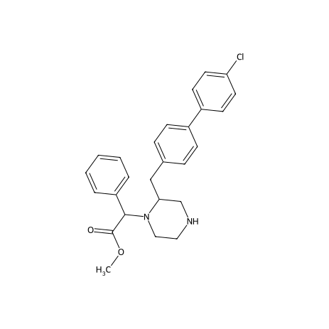 COC(=O)C(c1ccccc1)N1CCNCC1Cc1ccc(-c2ccc(Cl)cc2)cc1